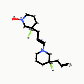 C=CC[C@]1(F)CCCN(/C=C/C[C@]2(F)CCCN(O)C2)C1